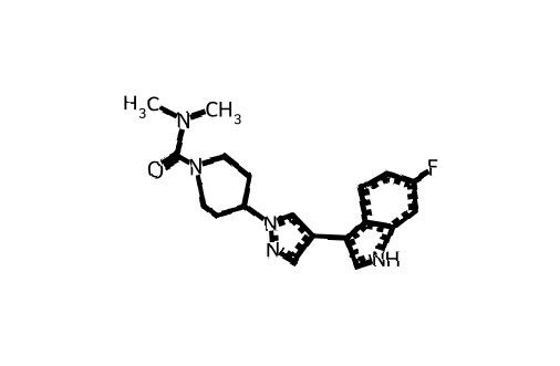 CN(C)C(=O)N1CCC(n2cc(-c3c[nH]c4cc(F)ccc34)cn2)CC1